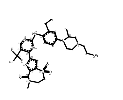 CCc1cc(N2CCN(CCO)CC2C)ccc1Nc1ncc(C(F)(F)F)c(-c2cc3c(s2)C(=O)N(C)CCS3(=O)=O)n1